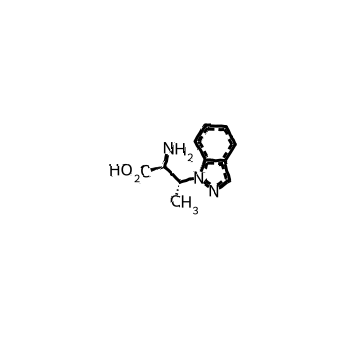 C[C@H]([C@H](N)C(=O)O)n1ncc2ccccc21